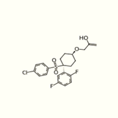 C=C(O)CO[C@H]1CC[C@@](c2cc(F)ccc2F)(S(=O)(=O)c2ccc(Cl)cc2)CC1